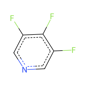 Fc1cncc(F)c1F